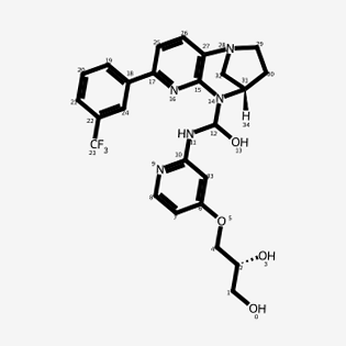 OC[C@@H](O)COc1ccnc(NC(O)N2c3nc(-c4cccc(C(F)(F)F)c4)ccc3N3CC[C@H]2C3)c1